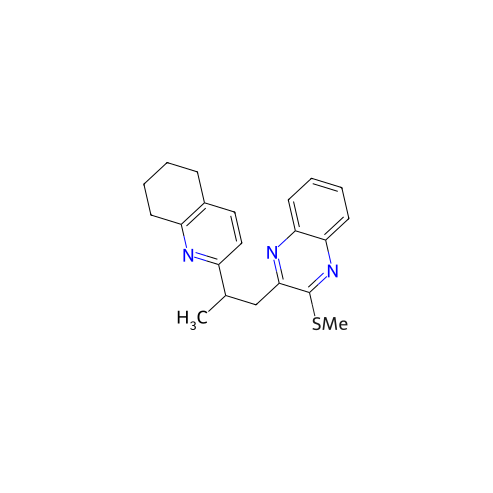 CSc1nc2ccccc2nc1CC(C)c1ccc2c(n1)CCCC2